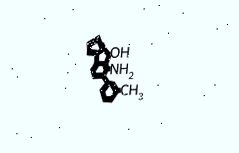 Cc1cccc(-c2ccc3c(c2N)C(O)c2ccccc2-3)c1